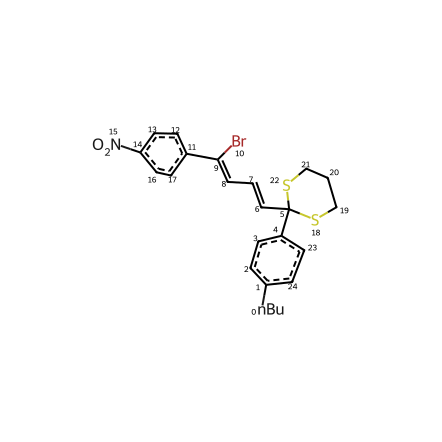 CCCCc1ccc(C2(/C=C/C=C(\Br)c3ccc([N+](=O)[O-])cc3)SCCCS2)cc1